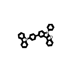 c1ccc(-n2c3ccc(-c4ccc(-n5c6ccccc6c6ccccc65)cc4)cc3c3c4ccccc4oc32)cc1